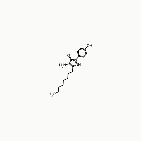 CCCCCCCCc1[nH]n(-c2ccc(O)cc2)c(=O)c1N